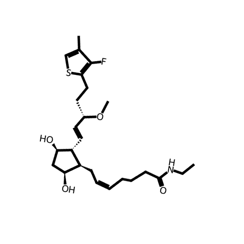 CCNC(=O)CCC/C=C\C[C@@H]1[C@@H](/C=C/[C@H](CCc2scc(C)c2F)OC)[C@H](O)C[C@@H]1O